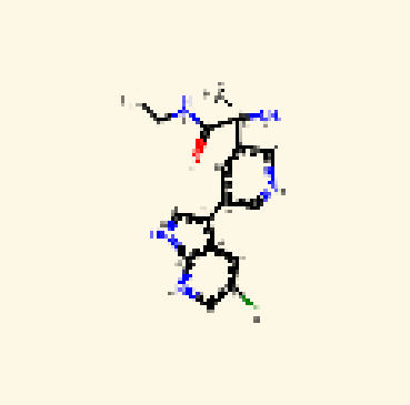 C[C@@](N)(C(=O)NCC(F)(F)F)c1cncc(-c2c[nH]c3ncc(F)cc23)c1